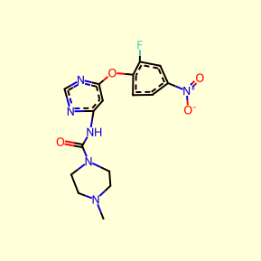 CN1CCN(C(=O)Nc2cc(Oc3ccc([N+](=O)[O-])cc3F)ncn2)CC1